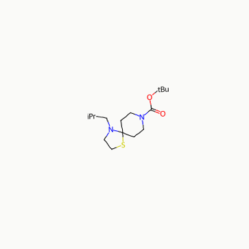 CC(C)CN1CCSC12CCN(C(=O)OC(C)(C)C)CC2